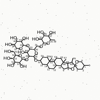 CC1CCC2(OC1)OC1CC3C4CCC5CC(OC6OC(COC7OC(C)C(O)C(O)C7O)C(OC7OCC(O)C(O)C7O)C(O)C6OC6OC(CO)C(O)C(O)C6O)CCC5(C)C4CCC3(C)C1C2C